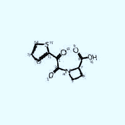 O=C(C(=O)N1CCC1C(=O)O)c1cccs1